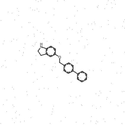 c1ccc(-c2ccc(COc3ccc4c(c3)CCN4)cc2)cc1